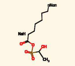 CCCCCCCCCCCCCCCC(=O)OS(=O)(=O)C(C)O.[NaH]